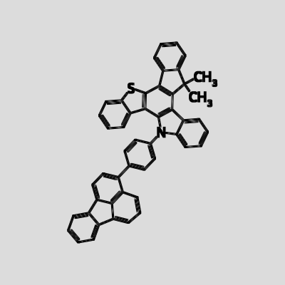 CC1(C)c2ccccc2-c2c1c1c3ccccc3n(-c3ccc(-c4ccc5c6c(cccc46)-c4ccccc4-5)cc3)c1c1c2sc2ccccc21